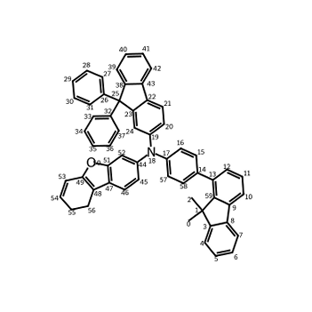 CC1(C)c2ccccc2-c2cccc(-c3ccc(N(c4ccc5c(c4)C(c4ccccc4)(c4ccccc4)c4ccccc4-5)c4ccc5c6c(oc5c4)C=CCC6)cc3)c21